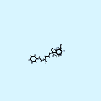 CC(C)C(C#N)(CCCN(C)CCC1CCCCC1)c1cccc(F)c1